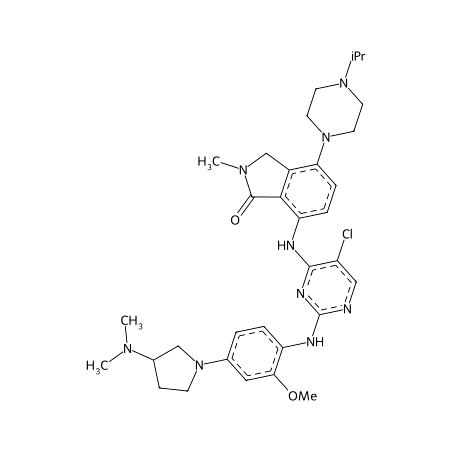 COc1cc(N2CCC(N(C)C)C2)ccc1Nc1ncc(Cl)c(Nc2ccc(N3CCN(C(C)C)CC3)c3c2C(=O)N(C)C3)n1